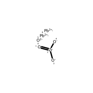 [O-2].[O]=[Zr]([O-])[O-].[Pb+2].[Pb+2]